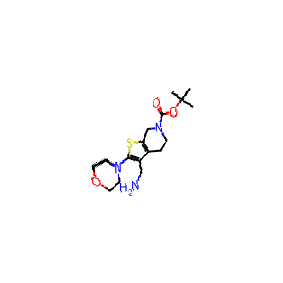 CC(C)(C)OC(=O)N1CCc2c(sc(N3CCOCC3)c2CN)C1